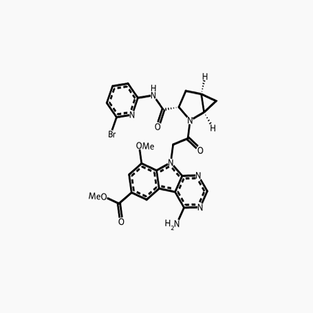 COC(=O)c1cc(OC)c2c(c1)c1c(N)ncnc1n2CC(=O)N1[C@@H]2C[C@@H]2C[C@H]1C(=O)Nc1cccc(Br)n1